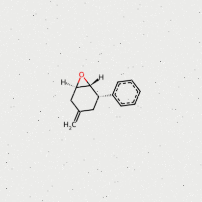 C=C1C[C@H]2O[C@@H]2[C@H](c2ccccc2)C1